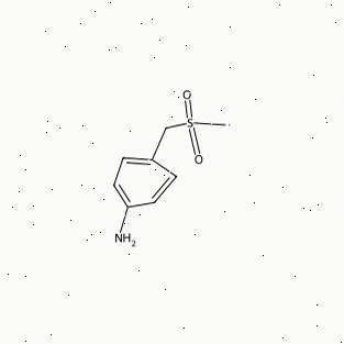 [CH2]S(=O)(=O)Cc1ccc(N)cc1